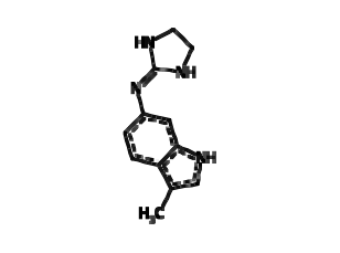 Cc1c[nH]c2cc(N=C3NCCN3)ccc12